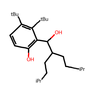 CC(C)CCC(CCC(C)C)C(O)c1c(O)ccc(C(C)(C)C)c1C(C)(C)C